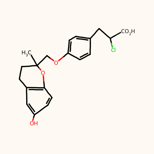 CC1(COc2ccc(CC(Cl)C(=O)O)cc2)CCc2cc(O)ccc2O1